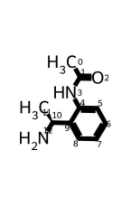 CC(=O)Nc1ccccc1[C@H](C)N